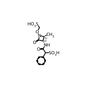 C[C@H]1[C@H](NC(=O)C(c2ccccc2)S(=O)(=O)O)C(=O)N1OCS(=O)(=O)O